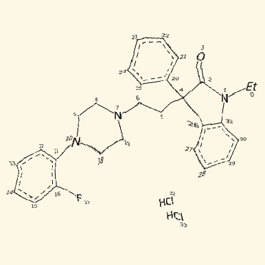 CCN1C(=O)C(CCN2CCN(c3ccccc3F)CC2)(c2ccccc2)c2ccccc21.Cl.Cl